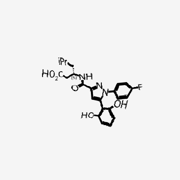 CC(C)C[C@@H](CC(=O)O)NC(=O)c1cc(-c2c(O)cccc2O)n(C2=C=C=C(F)C=C2)n1